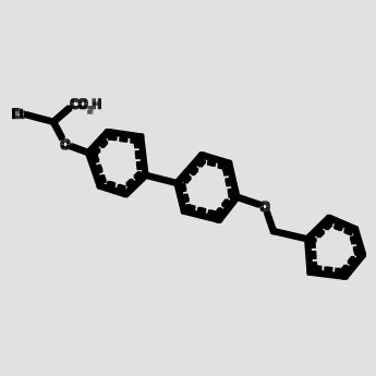 CCC(Oc1ccc(-c2ccc(OCc3ccccc3)cc2)cc1)C(=O)O